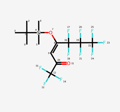 CC(C)(C)[Si](C)(C)OC(=CC(=O)C(F)(F)F)C(F)(F)C(F)(F)C(F)(F)F